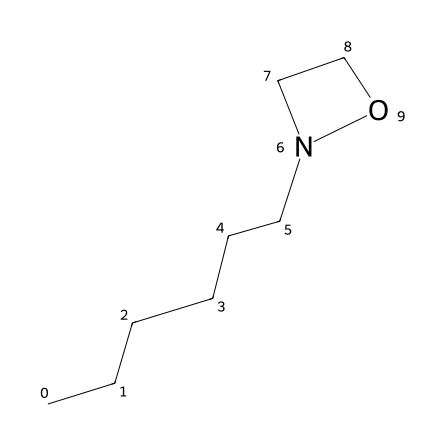 CCCCCCN1CCO1